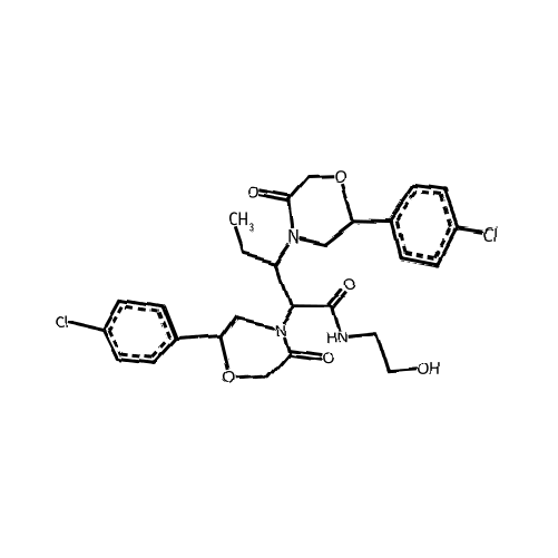 CCC(C(C(=O)NCCO)N1CC(c2ccc(Cl)cc2)OCC1=O)N1CC(c2ccc(Cl)cc2)OCC1=O